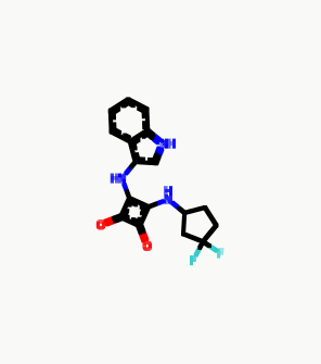 O=c1c(Nc2c[nH]c3ccccc23)c(NC2CCC(F)(F)C2)c1=O